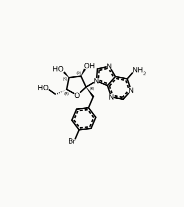 Nc1ncnc2c1ncn2[C@]1(Cc2ccc(Br)cc2)O[C@H](CO)[C@@H](O)[C@H]1O